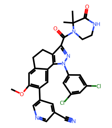 COc1cc2c(cc1-c1cncc(C#N)c1)-c1c(c(C(=O)N3CCNC(=O)C3(C)C)nn1-c1cc(Cl)cc(Cl)c1)CC2